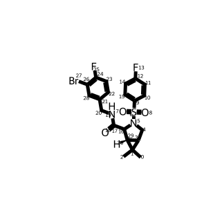 CC1(C)C2CN(S(=O)(=O)c3ccc(F)cc3)C(C(=O)NCc3ccc(F)c(Br)c3)[C@H]21